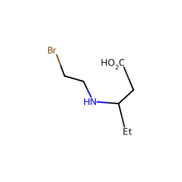 CCC(CC(=O)O)NCCBr